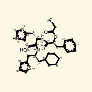 CC(C)CC(=O)N[C@@H](Cc1ccccc1)C(=O)N[C@@H](Cc1c[nH]cn1)C(=O)N[C@@H](CC1CCCCC1)[C@@H](O)c1cccs1